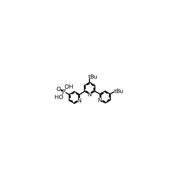 CC(C)(C)c1ccnc(-c2cc(C(C)(C)C)cc(-c3cc(P(=O)(O)O)ccn3)n2)c1